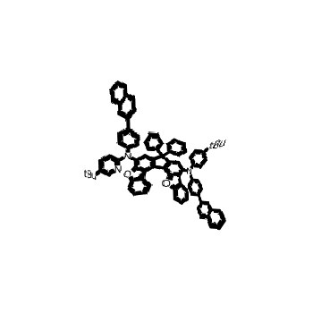 CC(C)(C)c1ccc(N(c2ccc(-c3ccc4ccccc4c3)cc2)c2cc3c(c4oc5ccccc5c24)-c2c(cc(N(c4ccc(-c5ccc6ccccc6c5)cc4)c4ccc(C(C)(C)C)cn4)c4oc5ccccc5c24)C3(c2ccccc2)c2ccccc2)cc1